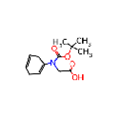 CC(C)(C)OC(=O)N(CC(=O)O)C1=CCC=CC1